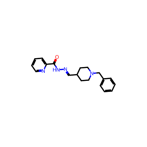 O=C(NN=CC1CCN(Cc2ccccc2)CC1)c1ccccn1